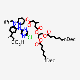 CCCCCCCCCCCCCCCC(=O)OCC(COC(=O)CCCCCCCCCCCCCCC)OC(=O)CC(C)CC(=O)O[C@H]1CC[C@H](N(CC(C)C)c2ccc([C@H](C)CC(=O)O)cc2Nc2cnc(Cl)cn2)CC1